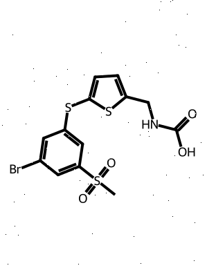 CS(=O)(=O)c1cc(Br)cc(Sc2ccc(CNC(=O)O)s2)c1